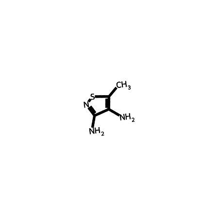 Cc1snc(N)c1N